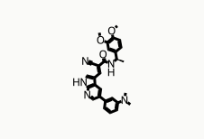 COc1ccc([C@@H](C)NC(=O)/C(C#N)=C/c2c[nH]c3ncc(-c4cccc(N(C)C)c4)cc23)cc1OC